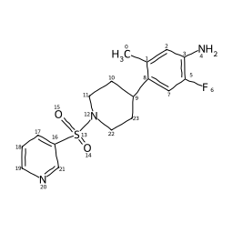 Cc1cc(N)c(F)cc1C1CCN(S(=O)(=O)c2cccnc2)CC1